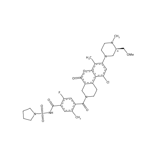 COC[C@H]1CN(c2cc(Cl)c3c4c(c(=O)oc3c2C)CN(C(=O)c2cc(F)c(C(=O)NS(=O)(=O)N3CCCC3)cc2C)CC4)CCN1C